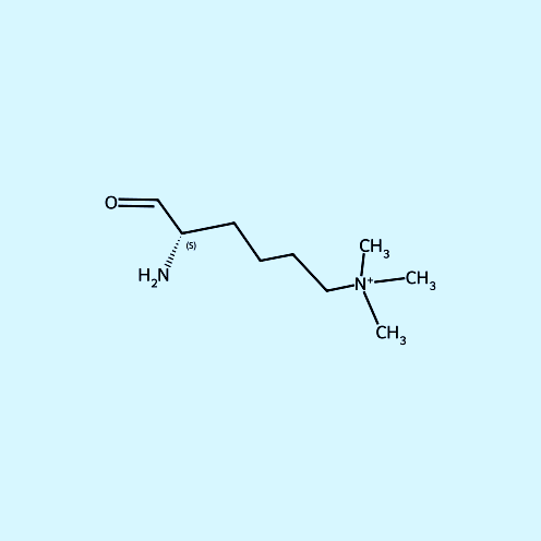 C[N+](C)(C)CCCC[C@H](N)C=O